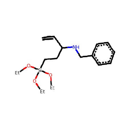 C=CC(CC[Si](OCC)(OCC)OCC)NCc1ccccc1